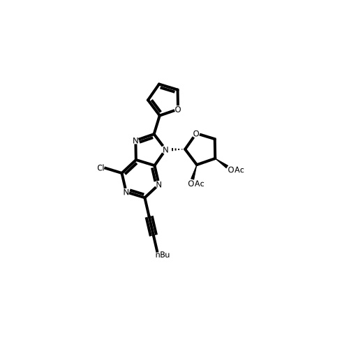 CCCCC#Cc1nc(Cl)c2nc(-c3ccco3)n([C@@H]3OC[C@@H](OC(C)=O)[C@H]3OC(C)=O)c2n1